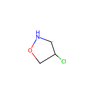 ClC1[CH]NOC1